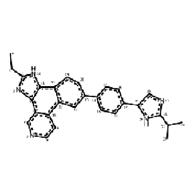 CCc1nc2c3cnccc3c3cc(-c4ccc(-c5cnc(C(C)C)[nH]5)cc4)ccc3c2[nH]1